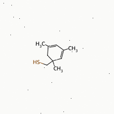 CC1=CC(C)(CS)CC(C)=C1